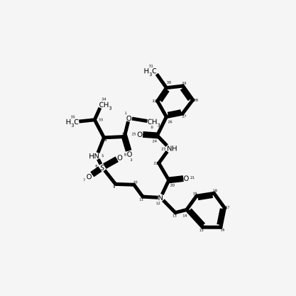 COC(=O)C(NS(=O)(=O)CCCN(Cc1ccccc1)C(=O)CNC(=O)c1cccc(C)c1)C(C)C